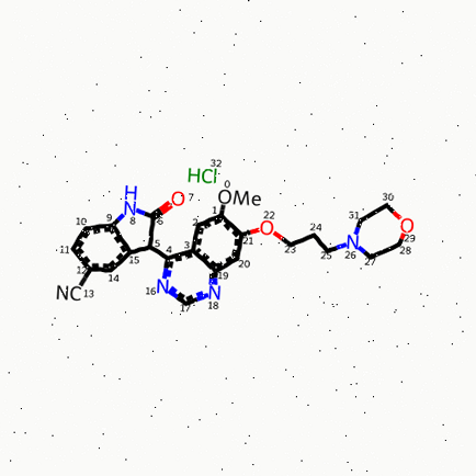 COc1cc2c(C3C(=O)Nc4ccc(C#N)cc43)ncnc2cc1OCCCN1CCOCC1.Cl